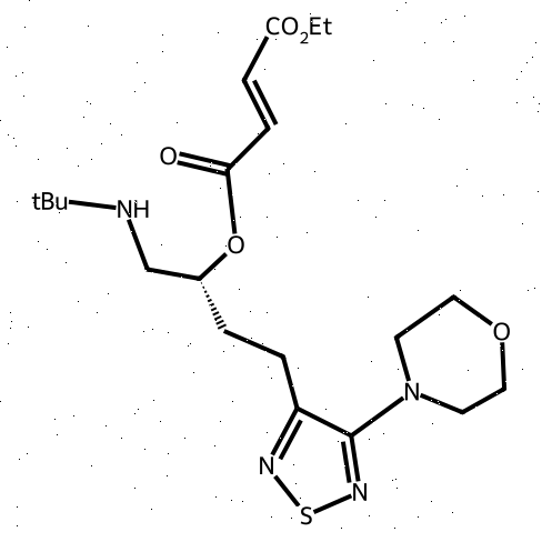 CCOC(=O)/C=C/C(=O)O[C@H](CCc1nsnc1N1CCOCC1)CNC(C)(C)C